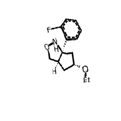 CCO[C@@H]1C[C@H]2CON[C@@]2(c2ccccc2F)C1